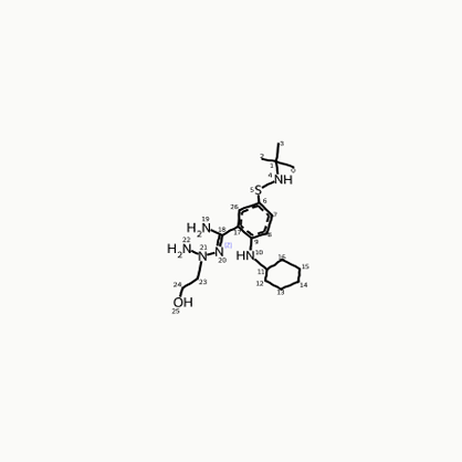 CC(C)(C)NSc1ccc(NC2CCCCC2)c(/C(N)=N/N(N)CCO)c1